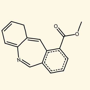 COC(=O)c1cccc2c1C=C1CC=CC=C1N=C2